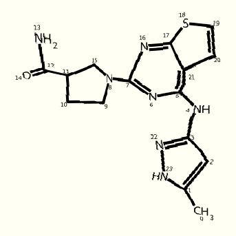 Cc1cc(Nc2nc(N3CCC(C(N)=O)C3)nc3sccc23)n[nH]1